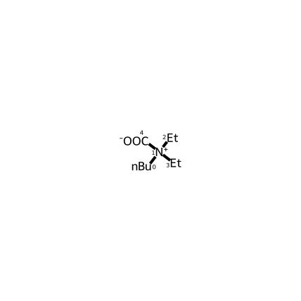 CCCC[N+](CC)(CC)C(=O)[O-]